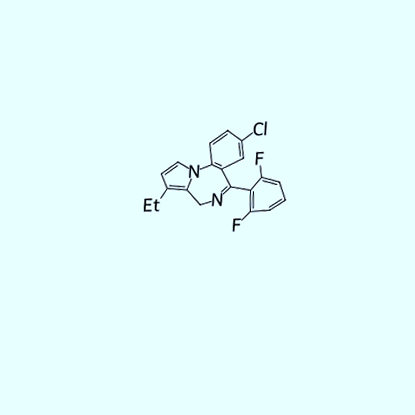 CCc1ccn2c1CN=C(c1c(F)cccc1F)c1cc(Cl)ccc1-2